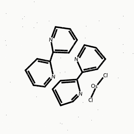 [Cl][Os][Cl].c1ccc(-c2ccccn2)nc1.c1ccc(-c2ccccn2)nc1